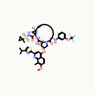 COc1ccc2c(O[C@@H]3C[C@H]4C(=O)N[C@]5(C(=O)NS(=O)(=O)C6(C)CC6)C[C@H]5/C=C\CCCCC[C@H](Nc5cccc(OC(F)(F)F)c5)C(=O)N4C3)cc(-c3nc(C(C)C)cs3)nc2c1C